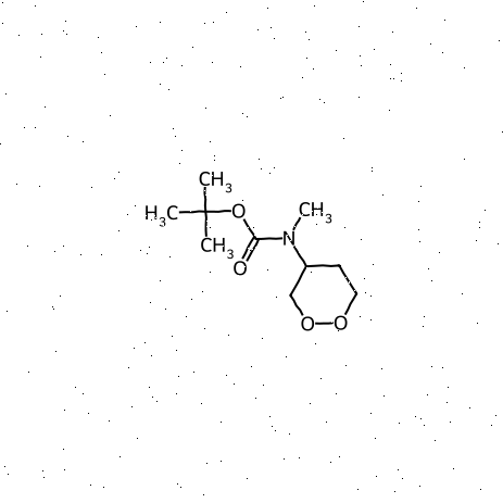 CN(C(=O)OC(C)(C)C)C1CCOOC1